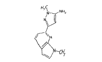 Cn1nc(-c2ccc3ccn(C)c3n2)cc1N